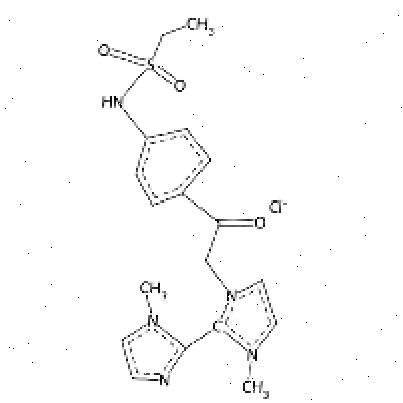 CCS(=O)(=O)Nc1ccc(C(=O)Cn2ccn(C)[c+]2-c2nccn2C)cc1.[Cl-]